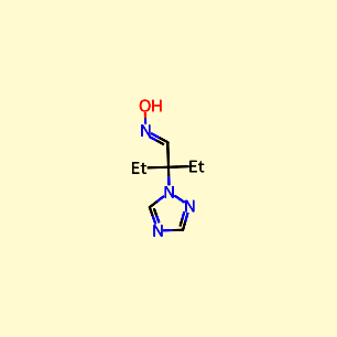 CCC(C=NO)(CC)n1cncn1